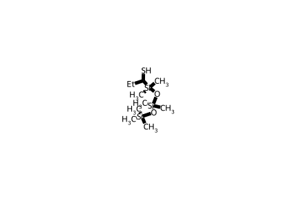 CCC(S)[Si](C)(C)O[Si](C)(C)O[Si](C)(C)C